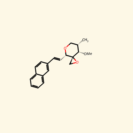 CO[C@H]1[C@@H](C)CO[C@@H](C=Cc2ccc3ccccc3c2)[C@]12CO2